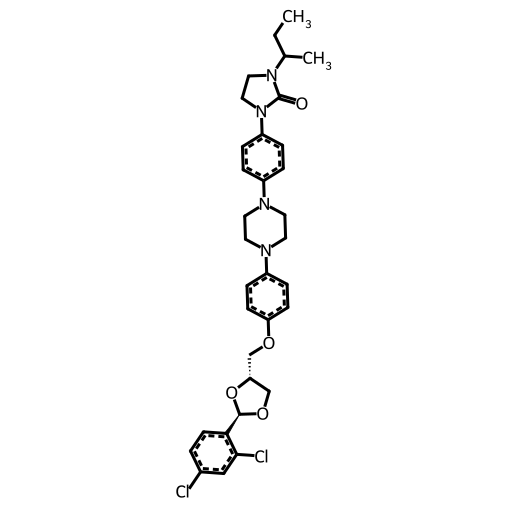 CCC(C)N1CCN(c2ccc(N3CCN(c4ccc(OC[C@@H]5CO[C@@H](c6ccc(Cl)cc6Cl)O5)cc4)CC3)cc2)C1=O